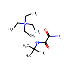 CC(C)(C)NC(=O)C(N)=O.CC[N+](CC)(CC)CC